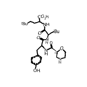 CCC(C)C(NC(=O)C(Cc1ccc(O)cc1)NC(=O)[C@@H]1CNCCO1)C(=O)NC(CCC(C)(C)C)C(=O)O